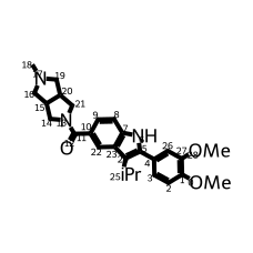 COc1ccc(-c2[nH]c3ccc(C(=O)N4CC5CN(C)CC5C4)cc3c2C(C)C)cc1OC